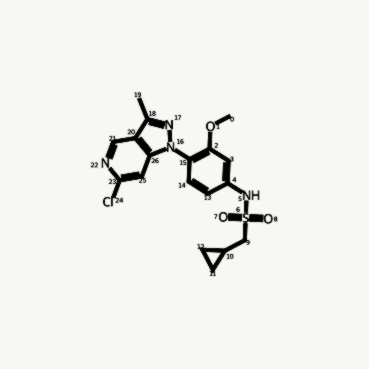 COc1cc(NS(=O)(=O)CC2CC2)ccc1-n1nc(C)c2cnc(Cl)cc21